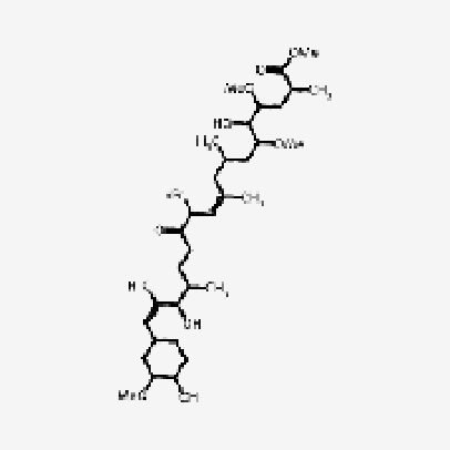 CCCC(C=C(C)CC(C)CC(OC)C(O)C(CC(C)C(=O)OC)OC)C(=O)CCC(C)C(O)C(C)=CC1CCC(O)C(OC)C1